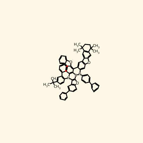 CC(C)(C)c1ccc(N2c3cc4c(oc5ccccc54)c4c3B(c3oc5ccc(-c6ccccc6)cc5c32)N(c2ccc(-c3ccccc3)cc2)c2cc3oc5cc6c(cc5c3cc2-4)C(C)(C)CCC6(C)C)c(-c2ccccc2)c1